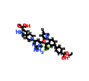 CCOC(O)c1ccc(-c2ccc(-n3ccc(C)n3)c([C@@H](Oc3cc(N4CCC5(CC4)CN[C@H](C(=O)O)C5)nc(N)n3)C(F)(F)F)c2)cc1